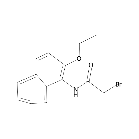 CCOc1ccc2ccccc2c1NC(=O)CBr